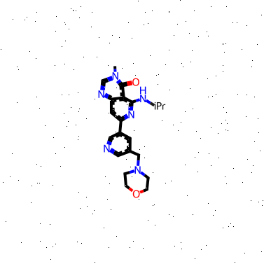 CC(C)Nc1nc(-c2cncc(CN3CCOCC3)c2)cc2ncn(C)c(=O)c12